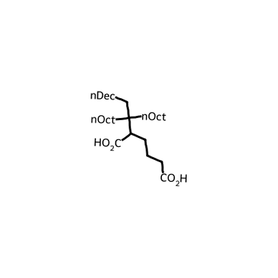 CCCCCCCCCCCC(CCCCCCCC)(CCCCCCCC)C(CCCC(=O)O)C(=O)O